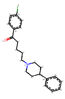 O=C(CCCCN1CCC(c2c[c]ccc2)CC1)c1ccc(F)cc1